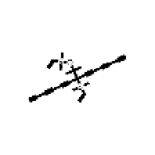 C#CC#CC#CC(C#CC#CC#C)(C(C)(C)O[Si](C)(C)C=C)[Si](C)(C)C=C